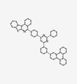 c1ccc(-c2nc(-c3ccc(-c4nc5sc6ccccc6c5c5ccccc45)cc3)cc(-c3cccc(-c4ccc5c6ccccc6c6ccccc6c5c4)c3)n2)cc1